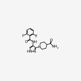 NC(=O)C1CCN(c2n[nH]cc2NC(=O)c2c(F)cccc2F)CC1